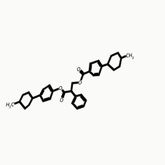 CC1CCC(c2ccc(OC(=O)C(COC(=O)c3ccc(C4CCC(C)CC4)cc3)c3ccccc3)cc2)CC1